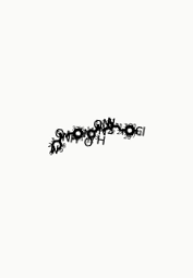 CN1CCC(C(=O)NCc2ccc(N3CC(C(=O)Nc4nnc(CCc5ccc(Cl)cc5)s4)CC3=O)cc2)CC1